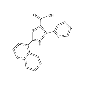 O=C(O)c1nc(-c2cccc3ccccc23)[nH]c1-c1ccncc1